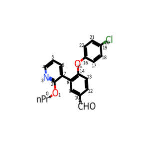 CCCOc1ncccc1-c1cc(C=O)ccc1Oc1ccc(Cl)cc1